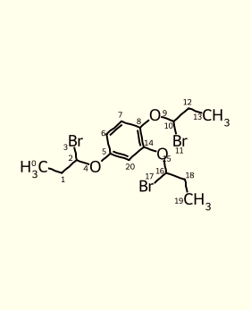 CCC(Br)Oc1ccc(OC(Br)CC)c(OC(Br)CC)c1